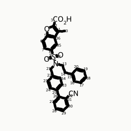 Cc1c(C(=O)O)oc2ccc(S(=O)(=O)N(CCc3ccccc3)Cc3ccc(-c4ccccc4C#N)cc3)cc12